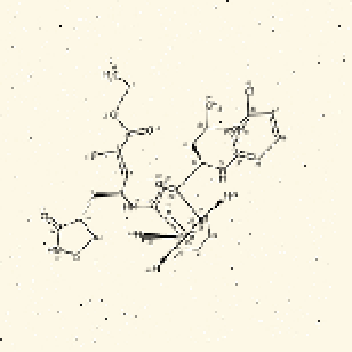 CCOC(=O)/C(F)=C/[C@H](C[C@@H]1CCNC1=O)NC(=O)[C@H]1[C@H]2CC[C@H](CC2(F)F)N1C(=O)[C@@H](CC(C)C)Nc1cccc(Cl)c1